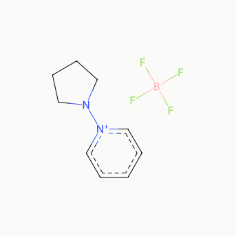 F[B-](F)(F)F.c1cc[n+](N2CCCC2)cc1